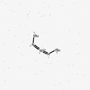 CC(C)(C)[N]=[W+2]=[N]C(C)(C)C